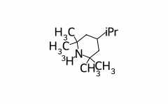 [3H]N1C(C)(C)CC(C(C)C)CC1(C)C